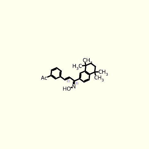 CC(=O)c1cccc(/C=C/C(=N\O)c2ccc3c(c2)C(C)(C)CCC3(C)C)c1